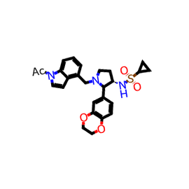 CC(=O)n1ccc2c(CN3CC[C@H](NS(=O)(=O)C4CC4)C3c3ccc4c(c3)OCCO4)cccc21